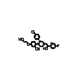 N#Cc1cc(OCCO)ccc1N1CCN(C[C@@H](O)c2ccc(F)cn2)C[C@H]1c1ccc(Cl)cc1